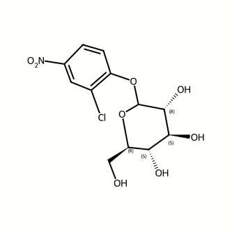 O=[N+]([O-])c1ccc(OC2O[C@H](CO)[C@@H](O)[C@H](O)[C@H]2O)c(Cl)c1